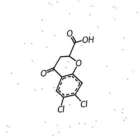 O=C1CC(C(=O)O)Oc2cc(Cl)c(Cl)cc21